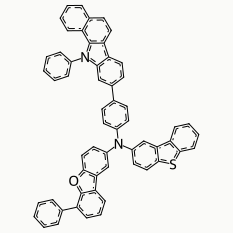 c1ccc(-c2cccc3c2oc2ccc(N(c4ccc(-c5ccc6c7ccc8ccccc8c7n(-c7ccccc7)c6c5)cc4)c4ccc5sc6ccccc6c5c4)cc23)cc1